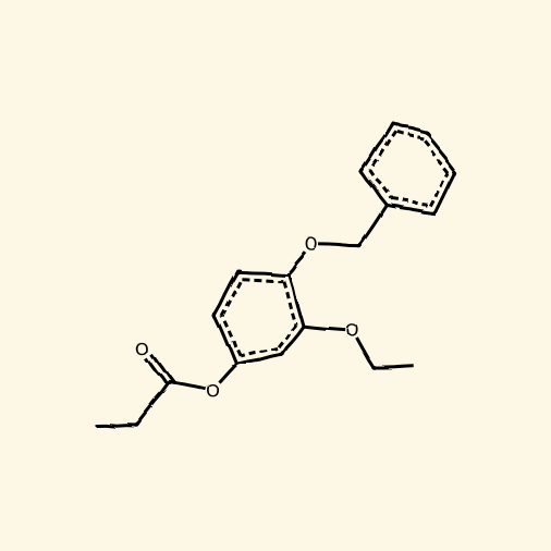 CCOc1cc(OC(=O)CC)ccc1OCc1ccccc1